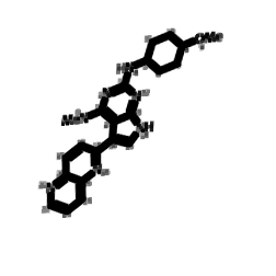 CNc1nc(NC2CCC(OC)CC2)nc2[nH]cc(-c3ccc4ncccc4n3)c12